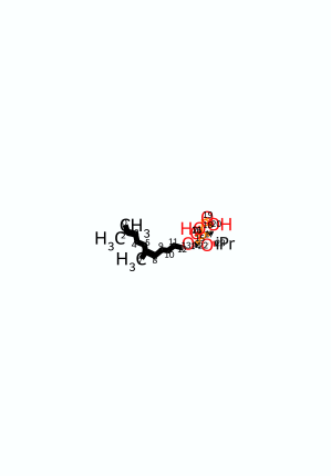 CC(C)=CCCC(C)=CCCCCOCP(=O)(CP(=O)(O)O)OC(C)C